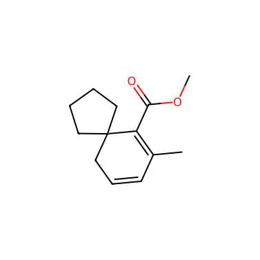 COC(=O)C1=C(C)C=CCC12CCCC2